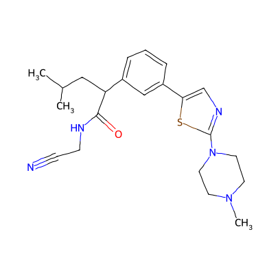 CC(C)CC(C(=O)NCC#N)c1cccc(-c2cnc(N3CCN(C)CC3)s2)c1